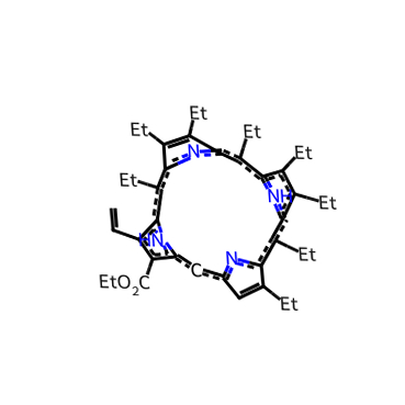 C=Cc1c(C(=O)OCC)c2cc3nc(c(CC)c4[nH]c(c(CC)c5nc(c(CC)c1[nH]2)C(CC)=C5CC)c(CC)c4CC)C(CC)=C3